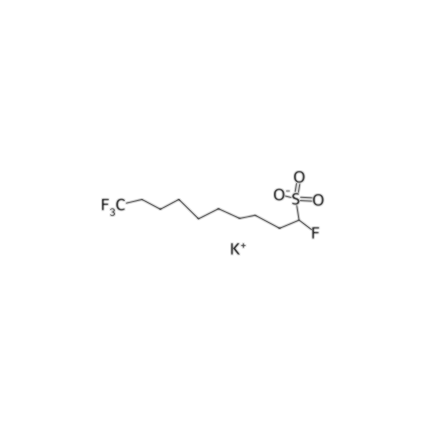 O=S(=O)([O-])C(F)CCCCCCCCC(F)(F)F.[K+]